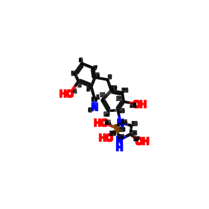 N#Cc1c(O)cccc1Cc1ccc(N2CC(O)NS2(O)O)c(O)c1